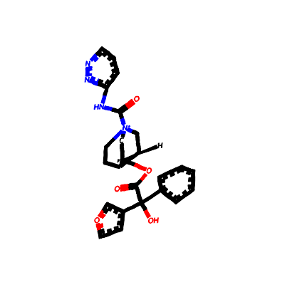 O=C(O[C@H]1C[N+]2(C(=O)Nc3cccnn3)CCC1CC2)C(O)(c1ccccc1)c1ccoc1